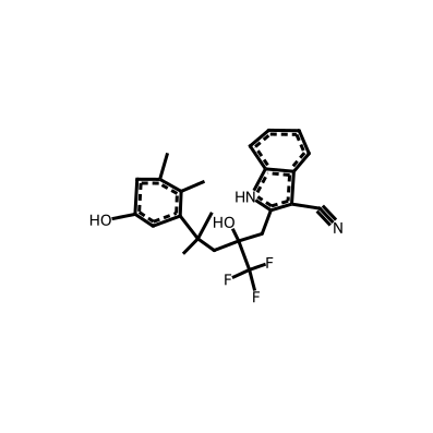 Cc1cc(O)cc(C(C)(C)CC(O)(Cc2[nH]c3ccccc3c2C#N)C(F)(F)F)c1C